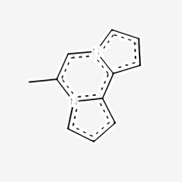 Cc1cn2cccc2c2cccn12